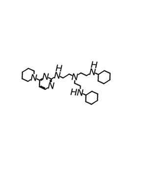 c1cc(N2CCCCC2)nc(NCCN(CCNC2CCCCC2)CCNC2CCCCC2)n1